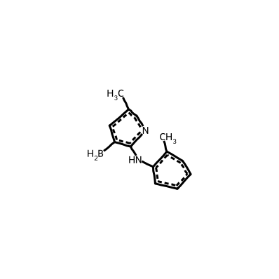 Bc1cc(C)cnc1Nc1ccccc1C